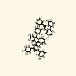 c1ccc(C(=C(c2ccccc2)c2cccc(-c3c4ccccc4c(-c4nc(-c5ccccc5)nc(-c5ccccc5)n4)c4ccccc34)c2)c2ccccc2)cc1